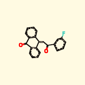 O=C(C=C1c2ccccc2C(=O)c2ccccc21)c1cccc(F)c1